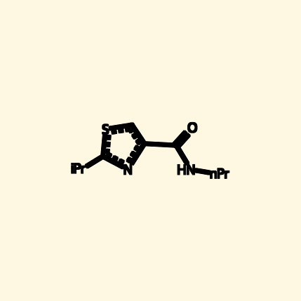 CCCNC(=O)c1csc(C(C)C)n1